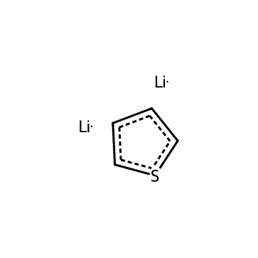 [Li].[Li].c1ccsc1